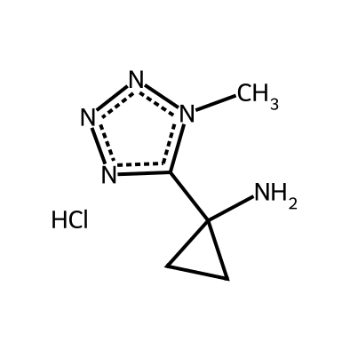 Cl.Cn1nnnc1C1(N)CC1